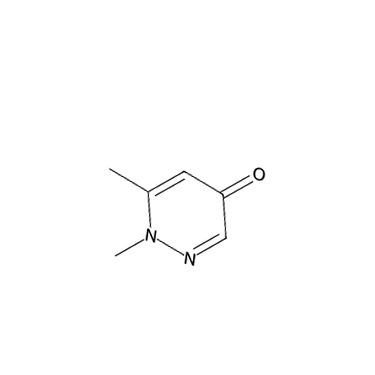 Cc1cc(=O)cnn1C